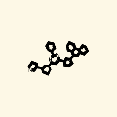 C1=CC(c2cccnc2)=CC(c2cc(-c3cccc(-c4cc5ccccc5c5ccccc45)c3)nc(-c3ccccc3)n2)C1